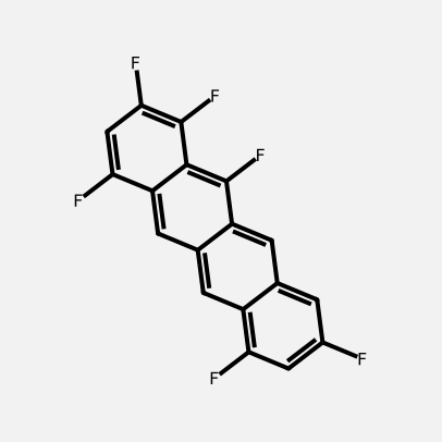 Fc1cc(F)c2cc3cc4c(F)cc(F)c(F)c4c(F)c3cc2c1